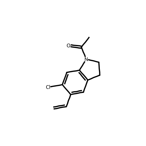 C=Cc1cc2c(cc1Cl)N(C(C)=O)CC2